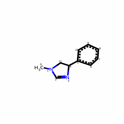 CN1[C]=NC(c2ccccc2)C1